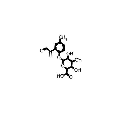 Cc1ccc(OC2OC(C(=O)O)C(O)C(O)C2O)c(NC=O)c1